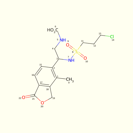 Cc1c(C(CNC(=O)O)NS(=O)(=O)CCCCl)ccc2c1COC2=O